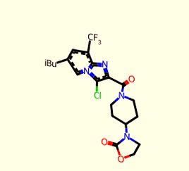 CCC(C)c1cc(C(F)(F)F)c2nc(C(=O)N3CCC(N4CCOC4=O)CC3)c(Cl)n2c1